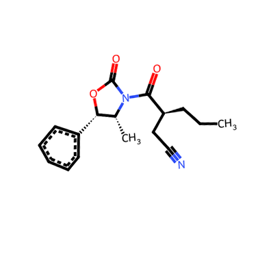 CCC[C@@H](CC#N)C(=O)N1C(=O)O[C@@H](c2ccccc2)[C@H]1C